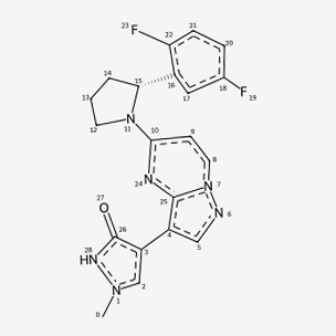 Cn1cc(-c2cnn3ccc(N4CCC[C@@H]4c4cc(F)ccc4F)nc23)c(=O)[nH]1